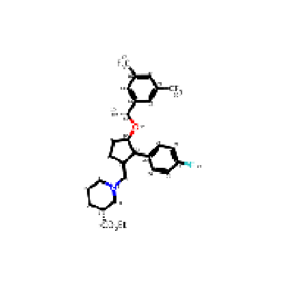 CCOC(=O)[C@@H]1CCCN(CC2CCC(O[C@H](C)c3cc(C(F)(F)F)cc(C(F)(F)F)c3)C2c2ccc(F)cc2)C1